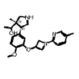 COc1ccc([C@@H]2CNC[C@@]2(C)C(C)O)cc1OC1CN(c2ccc(C)cn2)C1